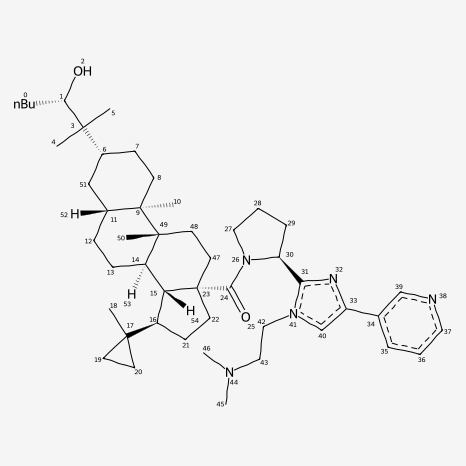 CCCC[C@H](O)C(C)(C)[C@@H]1CC[C@]2(C)[C@H](CC[C@@H]3[C@H]4[C@H](C5(C)CC5)CC[C@]4(C(=O)N4CCC[C@H]4c4nc(-c5cccnc5)cn4CCN(C)C)CC[C@]32C)C1